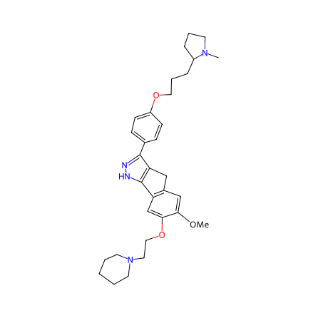 COc1cc2c(cc1OCCN1CCCCC1)-c1[nH]nc(-c3ccc(OCCCC4CCCN4C)cc3)c1C2